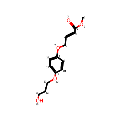 COC(=O)/C=C/COc1ccc(OCCCO)cc1